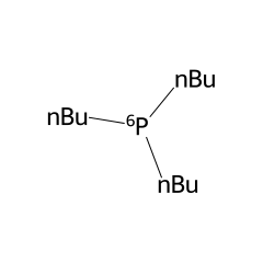 CCCC[6P](CCCC)CCCC